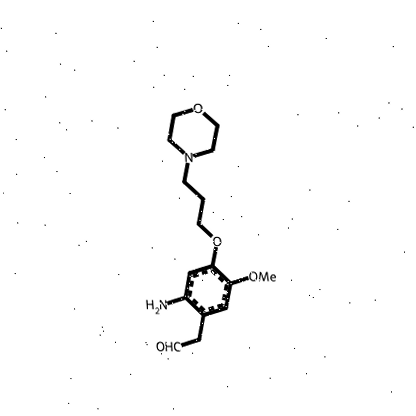 COc1cc(CC=O)c(N)cc1OCCCN1CCOCC1